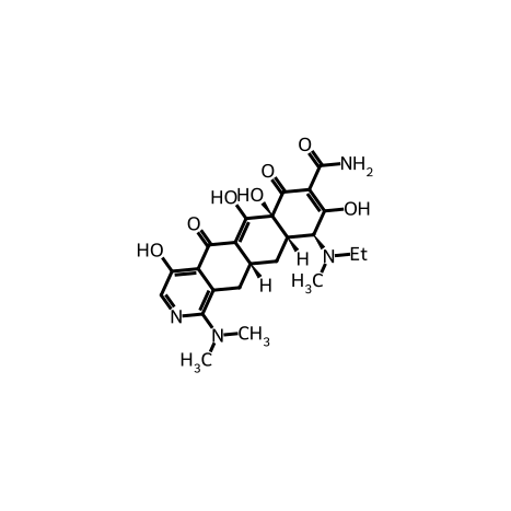 CCN(C)[C@@H]1C(O)=C(C(N)=O)C(=O)[C@@]2(O)C(O)=C3C(=O)c4c(O)cnc(N(C)C)c4C[C@H]3C[C@@H]12